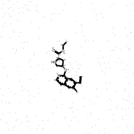 C=Cc1cc2c(O[C@H]3CN[C@H](C(=O)OCC)C3)nccc2cc1C